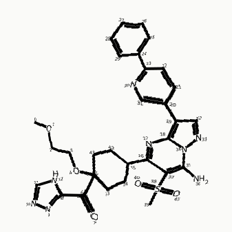 COCCOC1(C(=O)c2nnc[nH]2)CCC(c2nc3c(-c4ccc(-c5ccccc5)nc4)cnn3c(N)c2S(C)(=O)=O)CC1